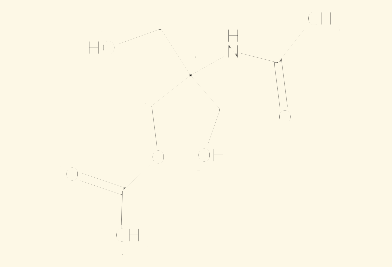 CC(=O)NC(CO)(CO)COC(C)=O